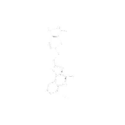 COc1cccc2c1nc(N)n1nc(CCN3C=CC4=C(C3)C(C(F)(F)F)NN4C)nc21